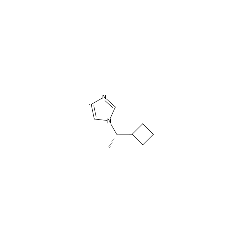 C[C@@H](C1CCC1)n1c[c]nc1